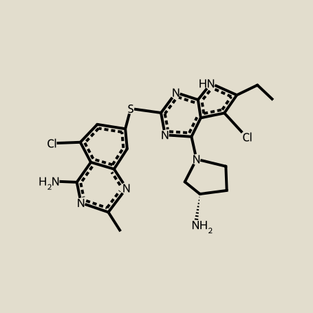 CCc1[nH]c2nc(Sc3cc(Cl)c4c(N)nc(C)nc4c3)nc(N3CC[C@H](N)C3)c2c1Cl